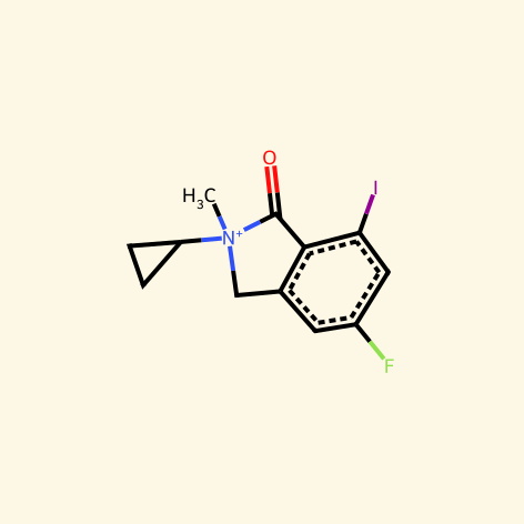 C[N+]1(C2CC2)Cc2cc(F)cc(I)c2C1=O